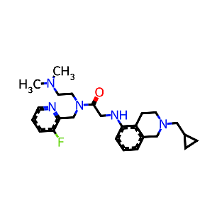 CN(C)CCN(Cc1ncccc1F)C(=O)CNc1cccc2c1CCN(CC1CC1)C2